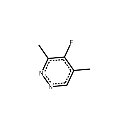 Cc1cnnc(C)c1F